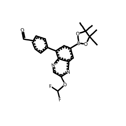 CC1(C)OB(c2cc(-c3ccc(C=O)cc3)c3ncc(OC(F)F)nc3c2)OC1(C)C